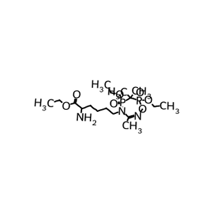 CCOC(=O)C(N)CCCCN1C(C)=NOP(=O)(OCC)C(C)(C)P1(=O)OCC